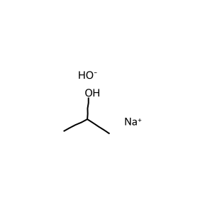 CC(C)O.[Na+].[OH-]